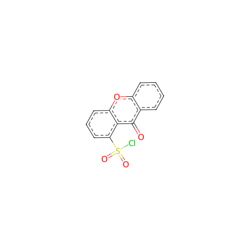 O=c1c2ccccc2oc2cccc(S(=O)(=O)Cl)c12